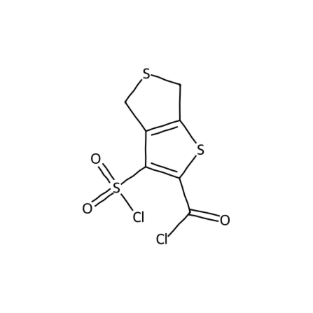 O=C(Cl)c1sc2c(c1S(=O)(=O)Cl)CSC2